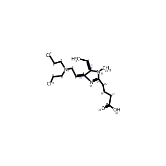 C/C=c1\c(=C/CN(CCCl)CCCl)nc(CCCC(=O)O)n1C